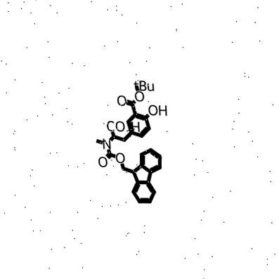 CN(C(=O)OCC1c2ccccc2-c2ccccc21)C(Cc1ccc(O)c(C(=O)OC(C)(C)C)c1)C(=O)O